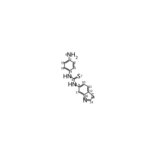 Nc1ccc(NC(=S)Nc2ccc3scnc3c2)cc1